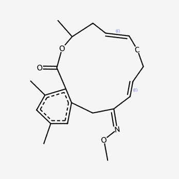 CON=C1/C=C/CC/C=C/CC(C)OC(=O)c2c(C)cc(C)cc2C1